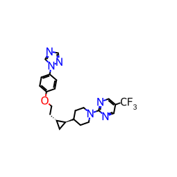 FC(F)(F)c1cnc(N2CCC([C@H]3C[C@@H]3CCOc3ccc(-n4cncn4)cc3)CC2)nc1